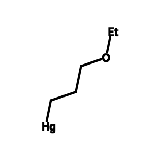 CCOCC[CH2][Hg]